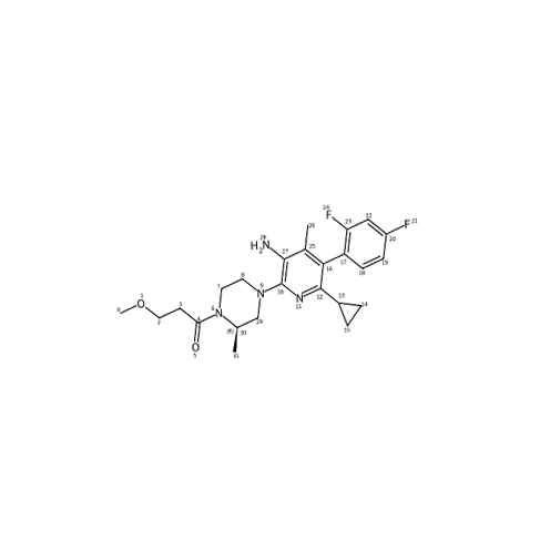 COCCC(=O)N1CCN(c2nc(C3CC3)c(-c3ccc(F)cc3F)c(C)c2N)C[C@H]1C